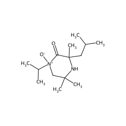 CC(C)CC1(C)NC(C)(C)C[N+]([O-])(C(C)C)C1=O